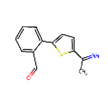 CC(=N)c1ccc(-c2ccccc2C=O)s1